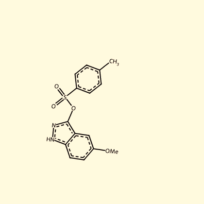 COc1ccc2[nH]nc(OS(=O)(=O)c3ccc(C)cc3)c2c1